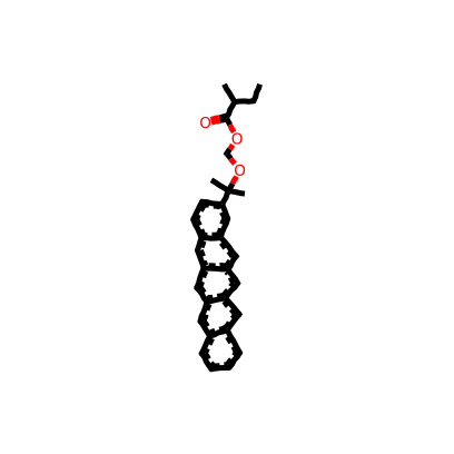 CCC(C)C(=O)OCOC(C)(C)c1ccc2cc3cc4cc5ccccc5cc4cc3cc2c1